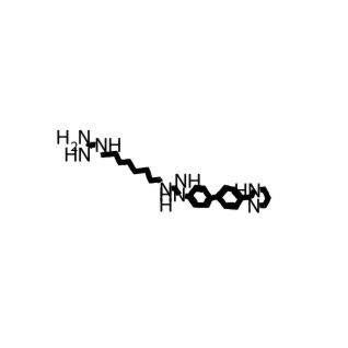 N=C(N)NCCCCCCCCNC(=N)Nc1ccc(-c2ccc(C3=NCCCN3)cc2)cc1